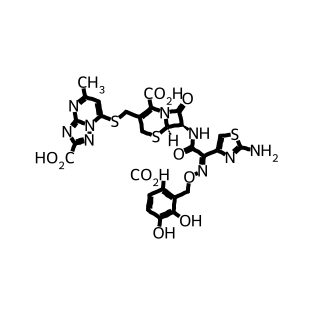 Cc1cc(SCC2=C(C(=O)O)N3C(=O)[C@@H](NC(=O)/C(=N\OCc4c(C(=O)O)ccc(O)c4O)c4csc(N)n4)[C@H]3SC2)n2nc(C(=O)O)nc2n1